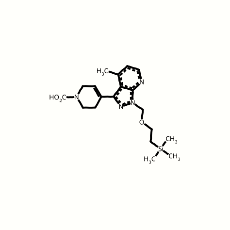 Cc1ccnc2c1c(C1=CCN(C(=O)O)CC1)nn2COCC[Si](C)(C)C